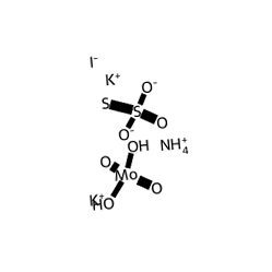 O=S([O-])([O-])=S.[I-].[K+].[K+].[NH4+].[O]=[Mo](=[O])([OH])[OH]